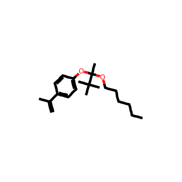 C=C(C)c1ccc(OC(C)(OCCCCCC)C(C)(C)C)cc1